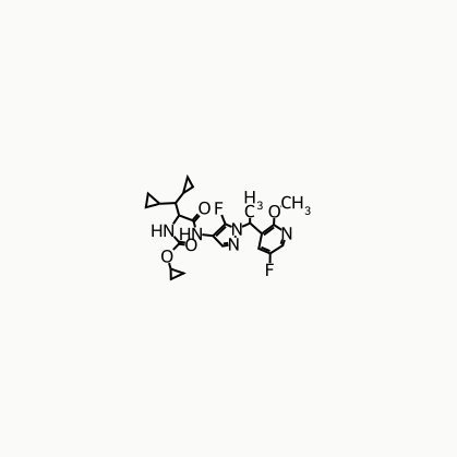 COc1ncc(F)cc1C(C)n1ncc(NC(=O)C(NC(=O)OC2CC2)C(C2CC2)C2CC2)c1F